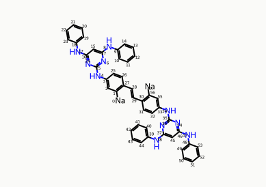 [Na][c]1cc(Nc2nc(Nc3ccccc3)cc(Nc3ccccc3)n2)ccc1C=Cc1ccc(Nc2nc(Nc3ccccc3)cc(Nc3ccccc3)n2)c[c]1[Na]